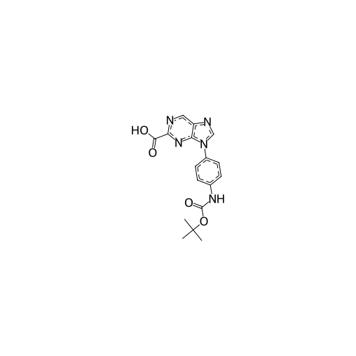 CC(C)(C)OC(=O)Nc1ccc(-n2cnc3cnc(C(=O)O)nc32)cc1